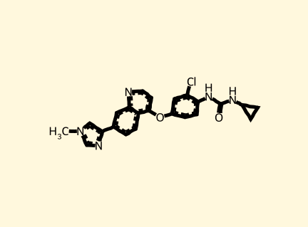 Cn1cnc(-c2ccc3c(Oc4ccc(NC(=O)NC5CC5)c(Cl)c4)ccnc3c2)c1